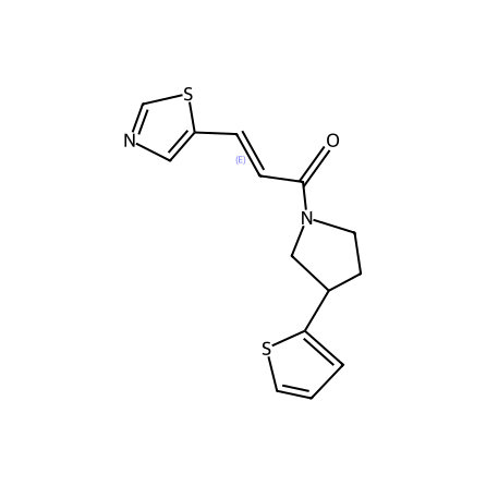 O=C(/C=C/c1cncs1)N1CCC(c2cccs2)C1